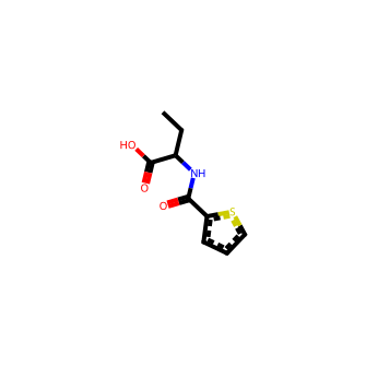 CCC(NC(=O)c1cccs1)C(=O)O